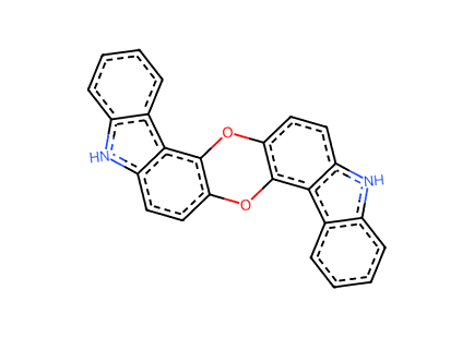 c1ccc2c(c1)[nH]c1ccc3c(c12)Oc1ccc2[nH]c4ccccc4c2c1O3